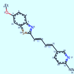 CCOc1ccc2nc(/C=C/C=C/c3ccc(NC)nc3)sc2c1